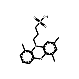 Cc1cc(C)c2c(c1)N(CCCS(=O)(=O)O)c1c(C)cccc1S2